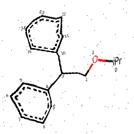 CC(C)OCC(c1ccccc1)c1ccccc1